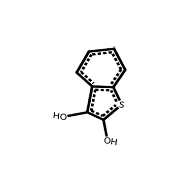 Oc1sc2c[c]ccc2c1O